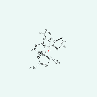 COc1ccc(OC(c2ccccc2)(c2ccccc2)c2ccccc2)c(OC)c1